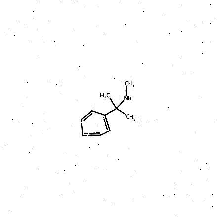 CNC(C)(C)c1ccccc1